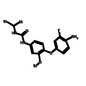 CCOc1cc(NC(=O)NC(CC)CC)ccc1Oc1ccc(N)c(F)c1